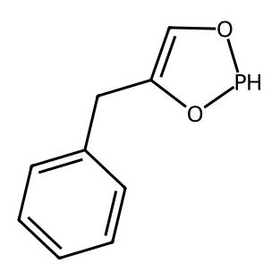 C1=C(Cc2ccccc2)OPO1